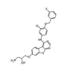 NCC(O)COc1ccc2c(c1)sc1ncnc(Nc3ccc(OCc4cccc(F)c4)c(Cl)c3)c12